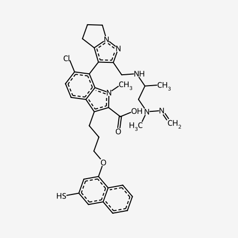 C=NN(C)CC(C)NCc1nn2c(c1-c1c(Cl)ccc3c(CCCOc4cc(S)cc5ccccc45)c(C(=O)O)n(C)c13)CCC2